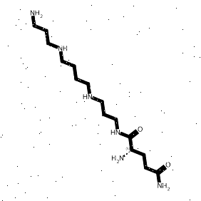 NCCCNCCCCNCCCNC(=O)[C@@H](N)CCC(N)=O